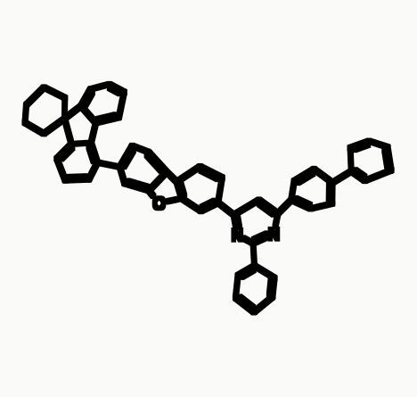 c1ccc(-c2ccc(-c3cc(-c4ccc5c(c4)oc4cc(-c6cccc7c6-c6ccccc6C76CCCCC6)ccc45)nc(-c4ccccc4)n3)cc2)cc1